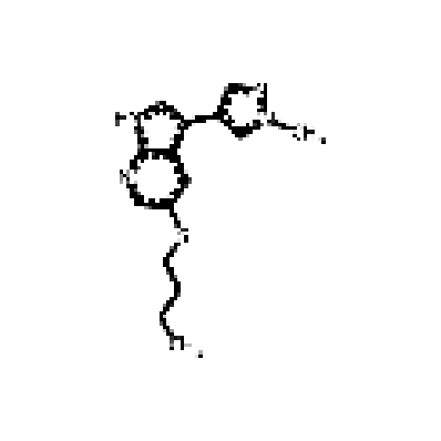 CCCCSc1cnc2[nH]cc(-c3cnn(C)c3)c2c1